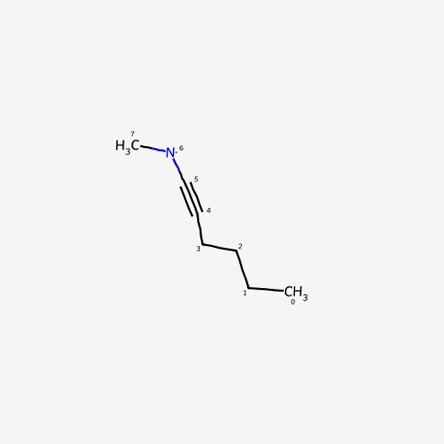 CCCCC#C[N]C